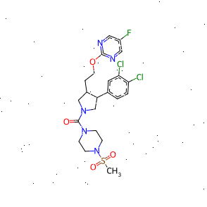 CS(=O)(=O)N1CCN(C(=O)N2CC(CCOc3ncc(F)cn3)C(c3ccc(Cl)c(Cl)c3)C2)CC1